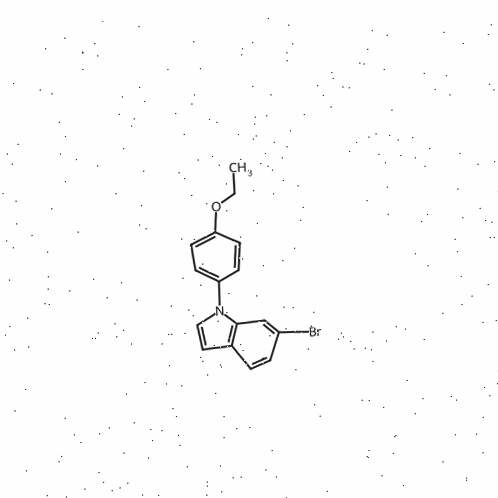 CCOc1ccc(-n2ccc3ccc(Br)cc32)cc1